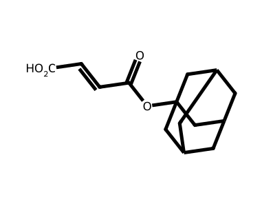 O=C(O)C=CC(=O)OC12CC3CC(CC(C3)C1)C2